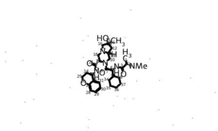 CN[C@@H](C)C(=O)N[C@H](C(=O)N1C[C@H]2C[C@@](C)(O)CN2C[C@H]1C(=O)N[C@@H]1CCOc2ccccc21)C1CCCCC1